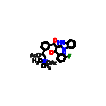 CC(=O)OC(C[N+](C)(C)OC(C)=O)c1cccc(C(=O)C(C(=O)c2cccc(F)c2)=C2Nc3ccccc3N2)c1